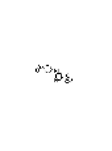 CC(=O)N1CCC(Nc2cncc(C(=O)OC(C)(C)C)c2)CC1